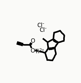 C#CC(=O)[O][Ti+2][CH]1CCCC2=C1C(C)C1=C2CCCC1.[Cl-].[Cl-]